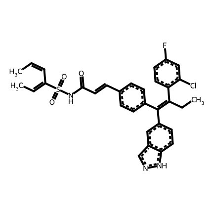 C/C=C\C(=C/C)S(=O)(=O)NC(=O)/C=C/c1ccc(/C(=C(/CC)c2ccc(F)cc2Cl)c2ccc3[nH]ncc3c2)cc1